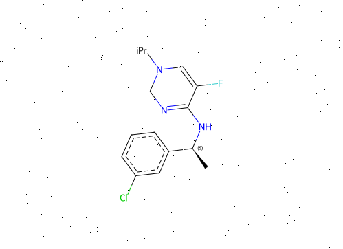 CC(C)N1C=C(F)C(N[C@@H](C)c2cccc(Cl)c2)=NC1